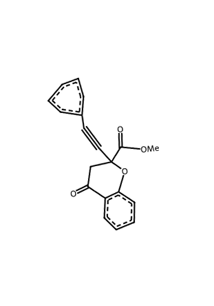 COC(=O)C1(C#Cc2ccccc2)CC(=O)c2ccccc2O1